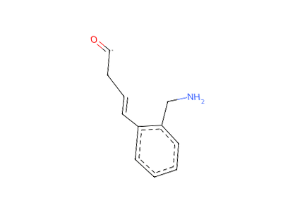 NCc1ccccc1/C=C/C[C]=O